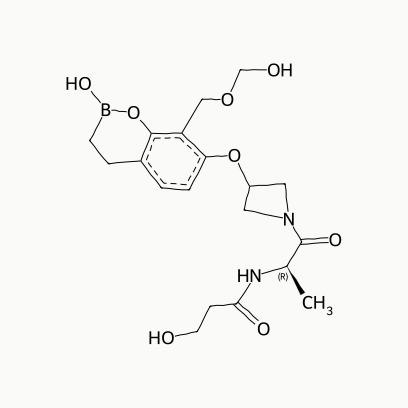 C[C@@H](NC(=O)CCO)C(=O)N1CC(Oc2ccc3c(c2COCO)OB(O)CC3)C1